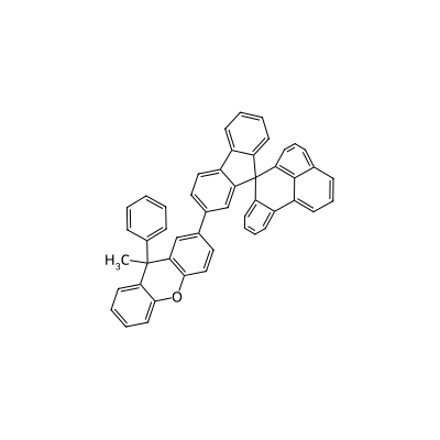 CC1(c2ccccc2)c2ccccc2Oc2ccc(-c3ccc4c(c3)C3(c5ccccc5-4)c4ccccc4-c4cccc5cccc3c45)cc21